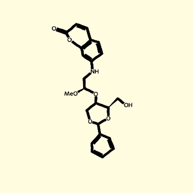 CO[C@@H](CNc1ccc2ccc(=O)oc2c1)OC1COC(c2ccccc2)O[C@@H]1CO